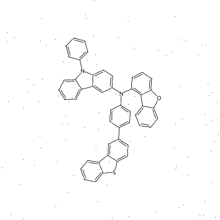 c1ccc(-n2c3ccccc3c3cc(N(c4ccc(-c5ccc6sc7ccccc7c6c5)cc4)c4cccc5oc6ccccc6c45)ccc32)cc1